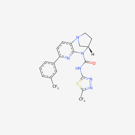 O=C(Nc1nnc(C(F)(F)F)s1)N1c2nc(-c3cccc(C(F)(F)F)c3)ccc2N2CC[C@H]1C2